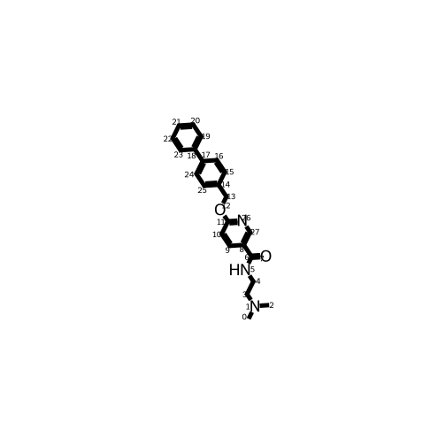 CN(C)CCNC(=O)c1ccc(OCc2ccc(-c3ccccc3)cc2)nc1